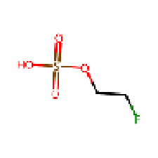 O=S(=O)(O)OCCF